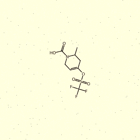 CC1CC(OS(=O)(=O)C(F)(F)F)=CCN1C(=O)O